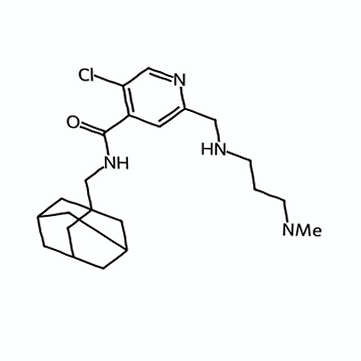 CNCCCNCc1cc(C(=O)NCC23CC4CC(CC(C4)C2)C3)c(Cl)cn1